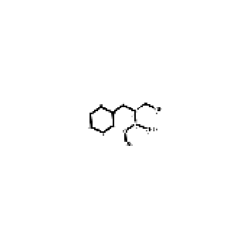 CC(C)(C)ON(C=O)[C@H](CO)CC1CCCCC1